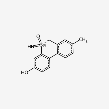 Cc1ccc2c(c1)C[S@](=N)(=O)c1cc(O)ccc1-2